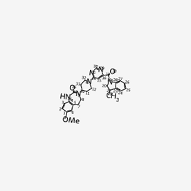 COc1ccc2c(c1)CCN(C1CCN(c3cc(C(=O)N4CC(C)c5ccccc54)ncn3)CC1)C(=O)N2